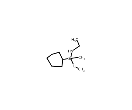 CCN[Si](C)(OC)C1CCCCC1